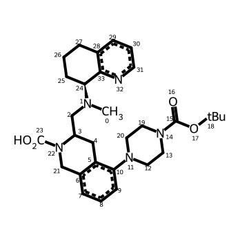 CN(CC1Cc2c(cccc2N2CCN(C(=O)OC(C)(C)C)CC2)CN1C(=O)O)[C@H]1CCCc2cccnc21